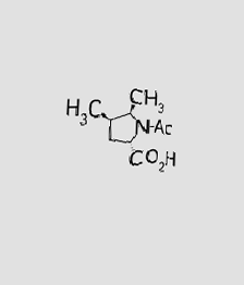 CC(=O)N1[C@H](C)[C@H](C)C[C@H]1C(=O)O